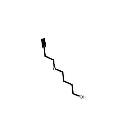 C#CCCOCCCCO